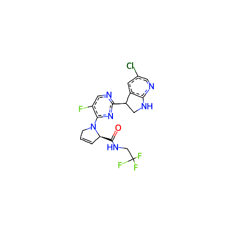 O=C(NCC(F)(F)F)[C@H]1C=CCN1c1nc(C2CNc3ncc(Cl)cc32)ncc1F